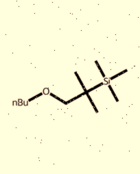 CCCCOCC(C)(C)[Si](C)(C)C